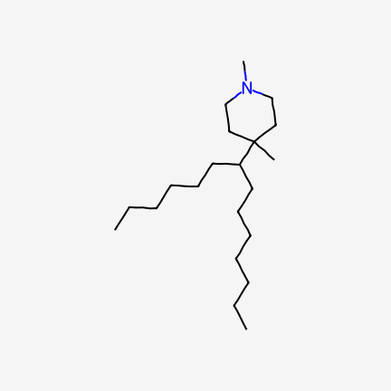 CCCCCCCC(CCCCCC)C1(C)CCN(C)CC1